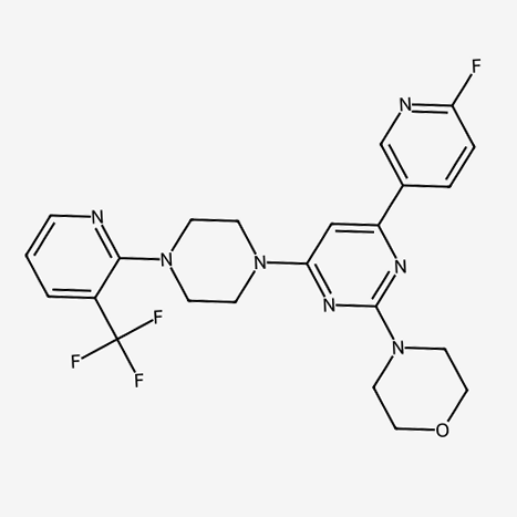 Fc1ccc(-c2cc(N3CCN(c4ncccc4C(F)(F)F)CC3)nc(N3CCOCC3)n2)cn1